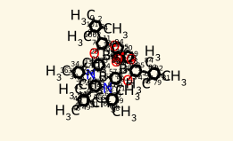 Cc1cc(C)c(-c2cc3c4c(c2)Oc2c(oc5ccccc25)B4c2cc4c(cc2O3)N(c2c(C)cc(C)cc2C)c2cc(-c3c(C)cc(C)cc3C)cc3c2B4c2cc4c(cc2N3c2c(C)cc(C)cc2C)Oc2cc(-c3c(C)cc(C)cc3C)cc3c2B4c2oc4ccccc4c2O3)c(C)c1